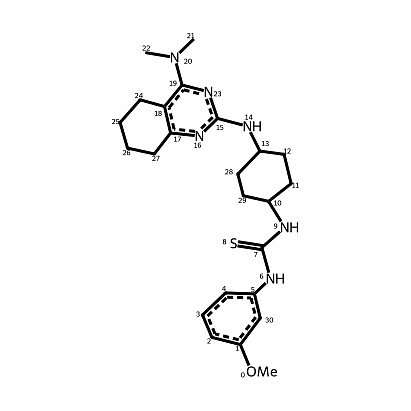 COc1cccc(NC(=S)NC2CCC(Nc3nc4c(c(N(C)C)n3)CCCC4)CC2)c1